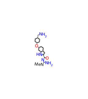 CNC(N)=NC(=O)c1cc2ccc(Oc3ccc(CN)cc3)cc2[nH]1